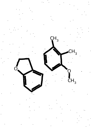 COc1cccc(C)c1C.c1ccc2c(c1)CCO2